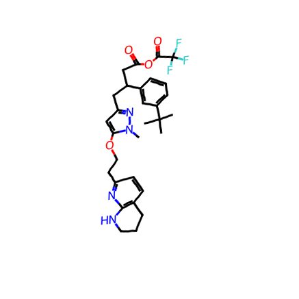 Cn1nc(CC(CC(=O)OC(=O)C(F)(F)F)c2cccc(C(C)(C)C)c2)cc1OCCc1ccc2c(n1)NCCC2